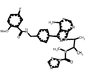 COc1ccc(F)cc1C(=O)NCc1ccc(-c2nn(C(C)C(C)N(C)C(=O)n3cncn3)c3ncnc(N)c23)cc1